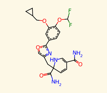 NC(=O)C1=CNC(Cc2coc(-c3ccc(OC(F)F)c(OCC4CC4)c3)n2)(C(N)=O)C=C1